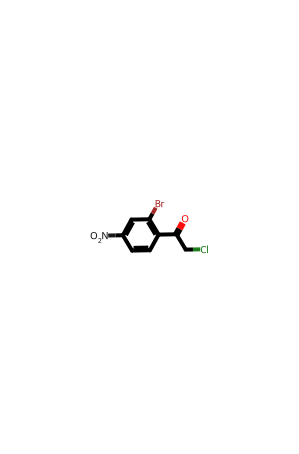 O=C(CCl)c1ccc([N+](=O)[O-])cc1Br